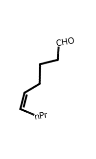 CCC/C=C\CCCC=O